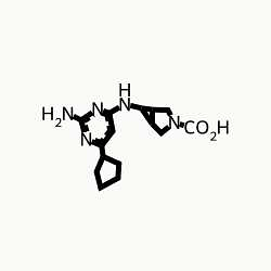 Nc1nc(NC2C3CN(C(=O)O)CC32)cc(C2CCCC2)n1